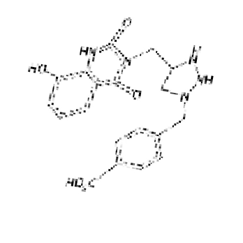 O=C(O)c1ccc(CN2CC(Cn3c(=O)[nH]c4c(O)cccc4c3=O)NN2)cc1